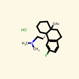 CC(=O)OC12CCCC[C@]1(CCN(C)C)c1cc(F)ccc1CC2.Cl